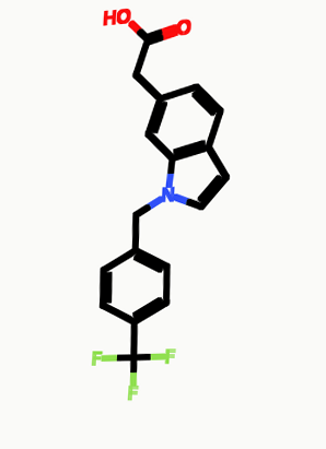 O=C(O)Cc1ccc2ccn(Cc3ccc(C(F)(F)F)cc3)c2c1